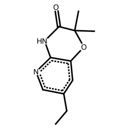 CCc1cnc2c(c1)OC(C)(C)C(=O)N2